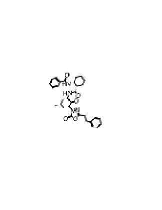 CC(C)C[C@H](NC(=O)[C@H]1CCCC[C@H]1NC(=O)c1ccccc1)C(=O)Cn1nc(CCc2ccccc2)oc1=O